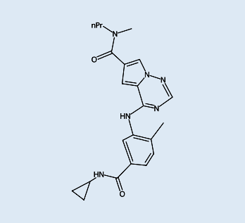 CCCN(C)C(=O)c1cc2c(Nc3cc(C(=O)NC4CC4)ccc3C)ncnn2c1